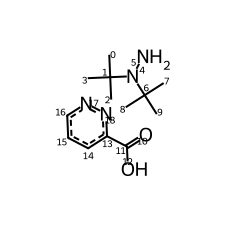 CC(C)(C)N(N)C(C)(C)C.O=C(O)c1cccnn1